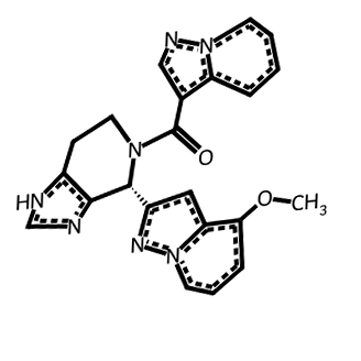 COc1cccn2nc([C@@H]3c4nc[nH]c4CCN3C(=O)c3cnn4ccccc34)cc12